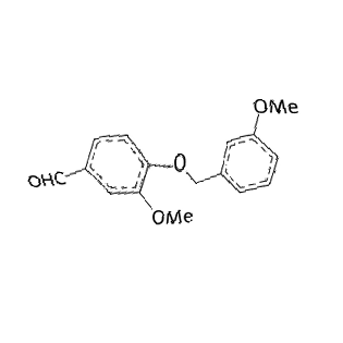 COc1cccc(COc2ccc(C=O)cc2OC)c1